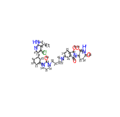 CCc1c[nH]c2ncc(-c3cccc(N4CCCN(CCC5CN(c6ccc7c(c6)C(=O)N(C6CCC(=O)NC6=O)C7=O)C5)C4=O)c3)c(Cl)c12